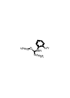 CCCCCCCC(Nc1ccccc1CCC)OCCCCC